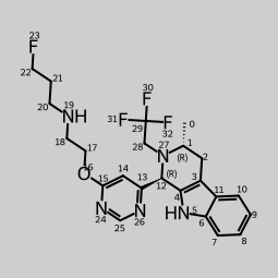 C[C@@H]1Cc2c([nH]c3ccccc23)[C@@H](c2cc(OCCNCCCF)ncn2)N1CC(F)(F)F